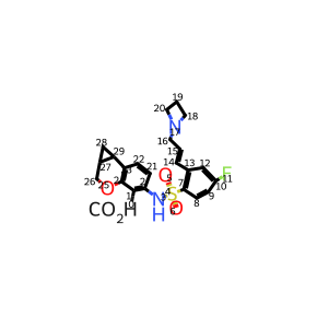 O=C(O)c1c(NS(=O)(=O)c2ccc(F)cc2C=CCN2CCC2)ccc2c1OCC1CC21